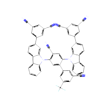 N#Cc1cc(C#N)cc(-c2ccc3c4ccccc4n(-c4cc(-c5cc(C#N)cc(C(F)(F)F)c5)c(-n5c6ccccc6c6ccc(-c7cc(C#N)cc(C#N)c7)cc65)cc4C#N)c3c2)c1